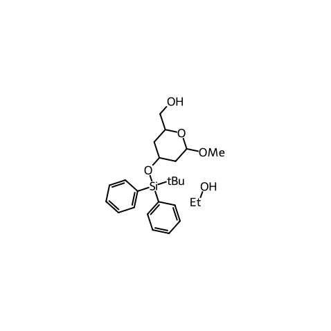 CCO.COC1CC(O[Si](c2ccccc2)(c2ccccc2)C(C)(C)C)CC(CO)O1